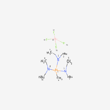 CCCCN(C)[P+](C)(N(C)CCCC)N(C)CCCC.F[B-](F)(F)F